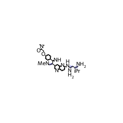 CN/C=C(\C(=N)c1ccc(OCC(=O)N(C)C)cc1)c1cnc2ccc(N/C(N)=C/C(=C\N)C(C)C)nc2c1